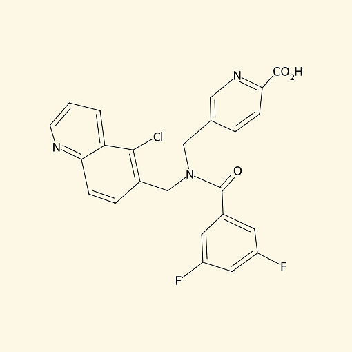 O=C(O)c1ccc(CN(Cc2ccc3ncccc3c2Cl)C(=O)c2cc(F)cc(F)c2)cn1